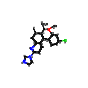 Cc1cc2nc(-n3ccnc3)ccc2c(-c2ccc(Cl)cc2OC(C)(C)C)c1CC(=O)O